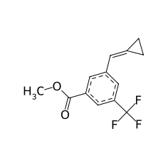 COC(=O)c1cc(C=C2CC2)cc(C(F)(F)F)c1